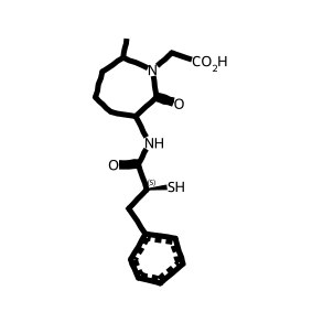 CC1CCCC(NC(=O)[C@@H](S)Cc2ccccc2)C(=O)N1CC(=O)O